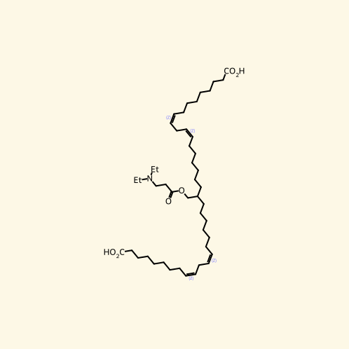 CCN(CC)CCC(=O)OCC(CCCCCC/C=C\C/C=C\CCCCCCCC(=O)O)CCCCCC/C=C\C/C=C\CCCCCCCC(=O)O